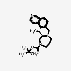 CC[C@@H]1CN(C(=O)OC(C)(C)C)CCCN1Cc1ccc2cnccc2c1